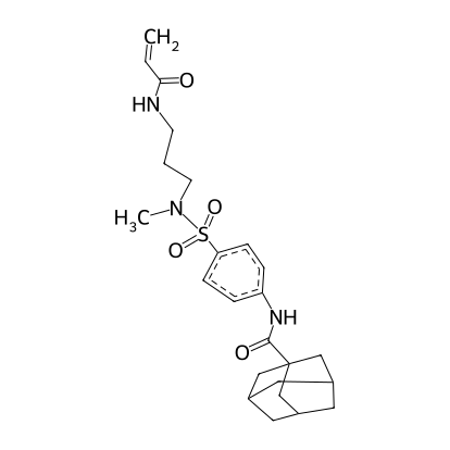 C=CC(=O)NCCCN(C)S(=O)(=O)c1ccc(NC(=O)C23CC4CC(CC(C4)C2)C3)cc1